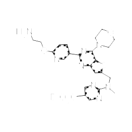 CCOC(=O)c1cnc(N(C)Cc2cc3nc(-c4ccc(OCCN)nc4)nc(N4CCOCC4)c3s2)nc1